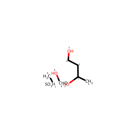 CC(O)CCO.CS(=O)(=O)O.O=CO